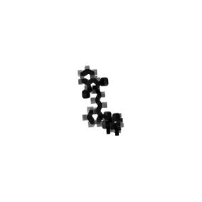 O=C1c2ccccc2C(=O)N1CCCc1ccccc1OS(=O)(=O)C(F)(F)F